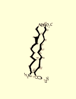 NCCCCCCCCCCN.O=C(O)CCCCCCCCCCC(=O)O